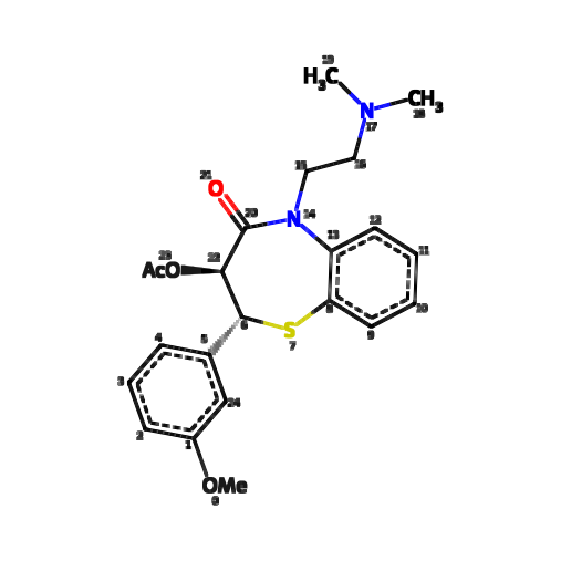 COc1cccc([C@H]2Sc3ccccc3N(CCN(C)C)C(=O)[C@@H]2OC(C)=O)c1